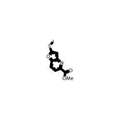 COC(=O)c1ccc2oc(SI)cc2n1